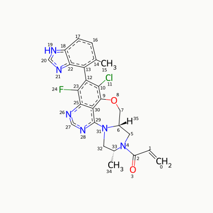 C=CC(=O)N1C[C@H]2COc3c(Cl)c(-c4c(C)ccc5[nH]cnc45)c(F)c4ncnc(c34)N2C[C@H]1C